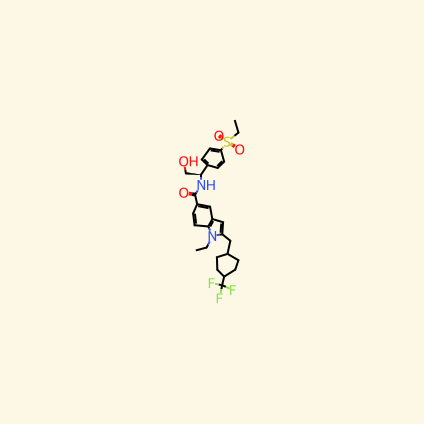 CCn1c(CC2CCC(C(F)(F)F)CC2)cc2cc(C(=O)N[C@@H](CO)c3ccc(S(=O)(=O)CC)cc3)ccc21